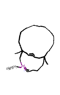 CCCCCCC/[PH]1=C/CCC2(C)C=CC(C)(CCCCCCCCC2)C1